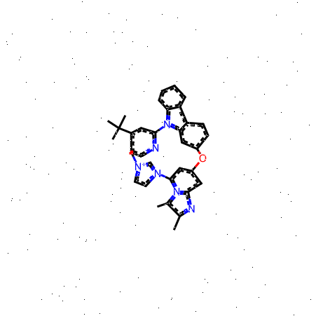 Cc1nc2cc(Oc3ccc4c5ccccc5n(-c5cc(C(C)(C)C)ccn5)c4c3)cc(-n3cc[n+](C)c3)n2c1C